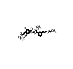 CCCOCCCc1cccc(-c2nc(NC(=O)c3cc(F)c(C=C(OC)C(=O)O)c(F)c3)sc2OC)c1